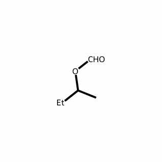 [CH2]CC(C)OC=O